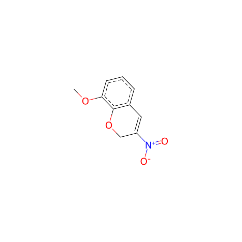 COc1cccc2c1OCC([N+](=O)[O-])=C2